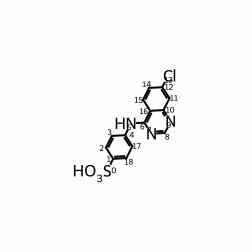 O=S(=O)(O)c1ccc(Nc2ncnc3cc(Cl)ccc23)cc1